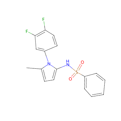 Cc1ccc(NS(=O)(=O)c2ccccc2)n1-c1ccc(F)c(F)c1